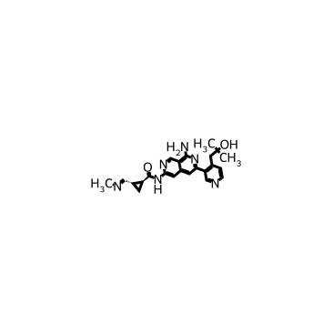 C/N=C/[C@H]1C[C@@H]1C(=O)Nc1cc2cc(-c3cnccc3CC(C)(C)O)nc(N)c2cn1